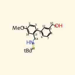 COc1ccc(-c2cccc(CO)c2)c(CNSC(C)(C)C)c1